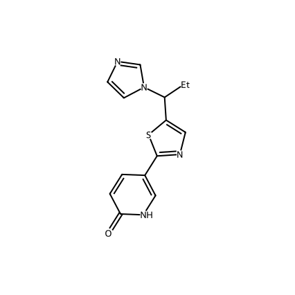 CCC(c1cnc(-c2ccc(=O)[nH]c2)s1)n1ccnc1